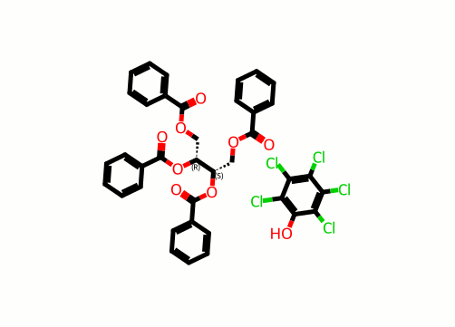 O=C(OC[C@H](OC(=O)c1ccccc1)[C@@H](COC(=O)c1ccccc1)OC(=O)c1ccccc1)c1ccccc1.Oc1c(Cl)c(Cl)c(Cl)c(Cl)c1Cl